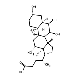 C[C@H](CCC(=O)O)[C@H]1CC[C@H]2[C@@H]3[C@H](O)[C@H](O)[C@@H]4C[C@@H](O)CC[C@]4(C)[C@H]3C[C@@H](O)[C@]12C